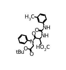 Cc1cccc(NC(=O)NC(CC(=O)O)C(=O)N(CC(=O)OC(C)(C)C)c2ccccc2)c1